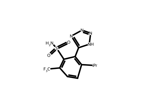 CC(C)c1ccc(C(F)(F)F)c(S(N)(=O)=O)c1-c1nnn[nH]1